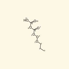 CCCOOOC(=O)OC(=O)O